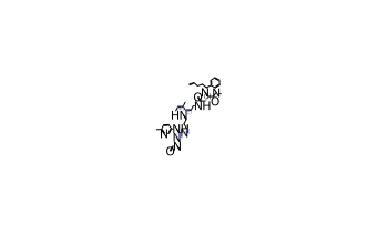 C=CCCC1=N[C@@H](CC(=O)NC/C=C(NCC/C=N\C(=N/CN(C)C=O)Nc2ccc(C)nc2)\C(C)=C/C)C(=O)N(C)c2ccccc21